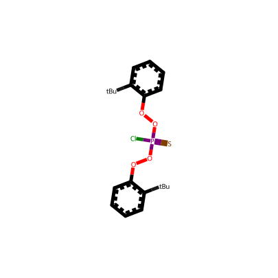 CC(C)(C)c1ccccc1OOP(=S)(Cl)OOc1ccccc1C(C)(C)C